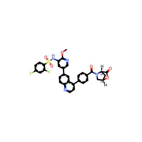 COc1ncc(-c2ccc3nccc(-c4ccc(C(=O)N5C[C@@H]6C[C@H]5C(=O)O6)cc4)c3c2)cc1NS(=O)(=O)c1ccc(F)cc1F